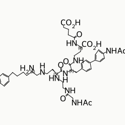 CC(=O)NCC(=O)NCCN[C@@H](CCNC[C@@H](N)CCCCc1ccccc1)C(=O)N[C@H](Cc1ccc(-c2ccc(NC(C)=O)cc2)cc1)C(=O)NCC[C@@H](NC(=O)CCCC(=O)O)C(=O)O